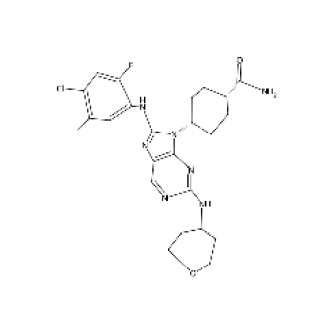 Cc1cc(Nc2nc3cnc(NC4CCOCC4)nc3n2[C@H]2CC[C@@H](C(N)=O)CC2)c(F)cc1Cl